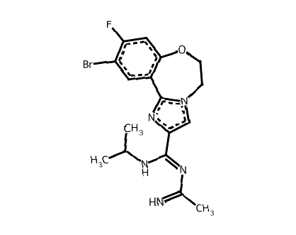 CC(=N)/N=C(\NC(C)C)c1cn2c(n1)-c1cc(Br)c(F)cc1OCC2